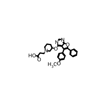 COc1ccc(-c2c(-c3ccccc3)oc3ncnc(O[C@@H]4CCCN(CCC(=O)O)C4)c23)cc1